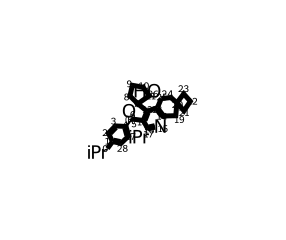 CC(C)c1ccc([C@H]2OC3(CCCC3)c3c4c(nc(C(C)C)c32)CC2(CCC2)CC4O)cc1